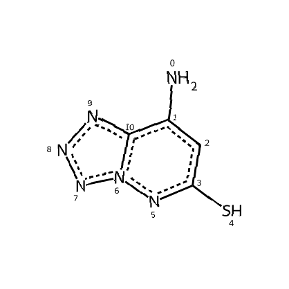 Nc1cc(S)nn2nnnc12